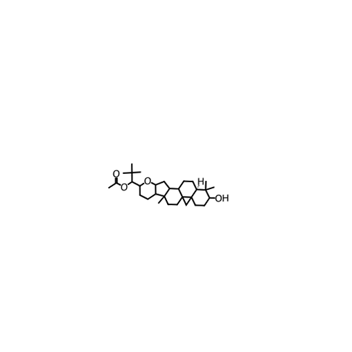 CC(=O)OC(C1CCC2C(CC3C4CC[C@H]5C(C)(C)C(O)CCC56CC46CCC23C)O1)C(C)(C)C